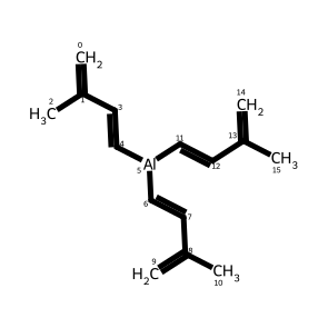 C=C(C)C=[CH][Al]([CH]=CC(=C)C)[CH]=CC(=C)C